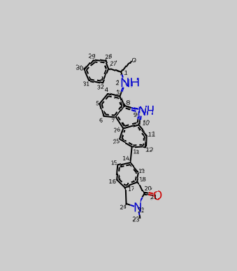 CC(Nc1cccc2c1[nH]c1ccc(-c3ccc4c(c3)C(=O)N(C)C4)cc12)c1ccccc1